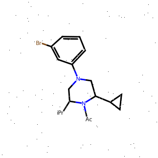 CC(=O)N1C(C(C)C)CN(c2cccc(Br)c2)CC1C1CC1